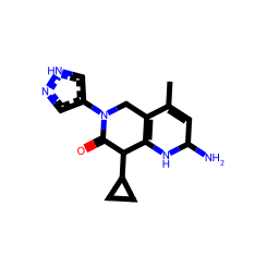 CC1=CC(N)NC2=C1CN(c1cn[nH]c1)C(=O)C2C1CC1